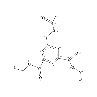 CCOC(=O)c1cc(CSC(C)=O)cc(C(=O)OCC)c1